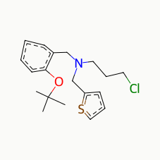 CC(C)(C)Oc1ccccc1CN(CCCCl)Cc1cccs1